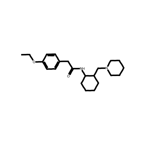 CCOc1ccc(CC(=O)NC2CCCCC2CN2CCCCC2)cc1